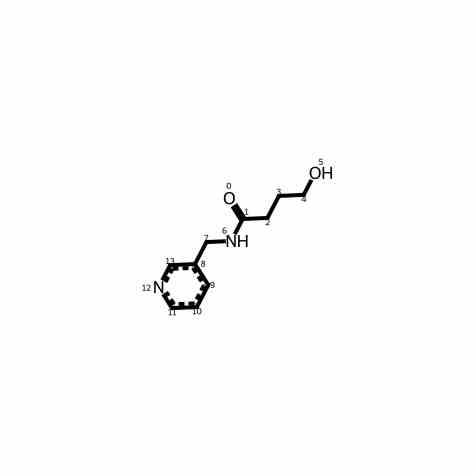 O=C(CCCO)NCc1cccnc1